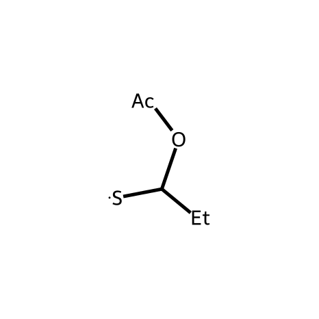 CCC([S])OC(C)=O